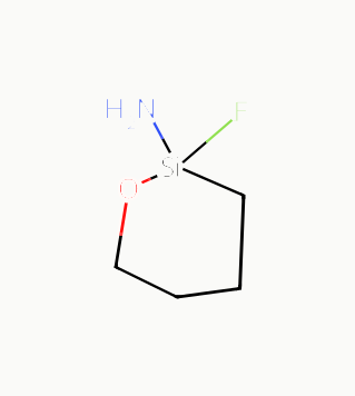 N[Si]1(F)CCCCO1